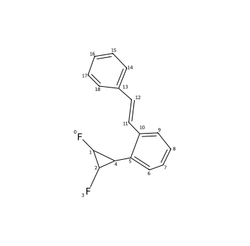 FC1C(F)C1c1ccccc1C=Cc1ccccc1